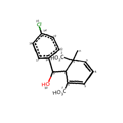 CC1(C(=O)O)C=CC=C(C(=O)O)C1C(O)c1ccc(Cl)cc1